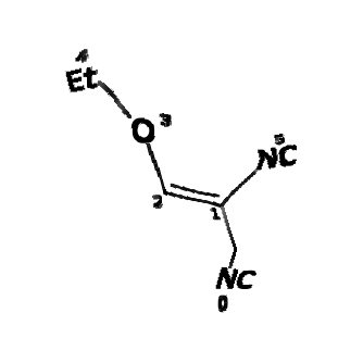 [C-]#[N+]C(=COCC)[N+]#[C-]